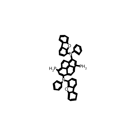 Pc1cc(N(c2ccccc2)c2cccc3c2oc2ccccc23)c2ccc3c(P)cc(N(c4ccccc4)c4cccc5c4oc4ccccc45)c4ccc1c2c34